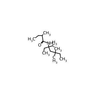 CCC(C)C(=O)NC(C)(CC)CC(C)(C)CC